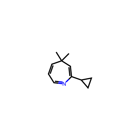 CC1(C)C=CC=NC(C2CC2)=C1